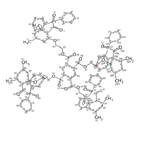 Cc1cc(C)c(C(=O)P(=O)(c2ccccc2)c2ccccc2)c(OCCOC(=O)c2cc(C(=O)OCCOc3cc(C)cc(C)c3C(=O)P(=O)(c3ccccc3)c3ccccc3)c(C(=O)OCCOc3cc(C)cc(C)c3C(=O)P(=O)(c3ccccc3)c3ccccc3)cc2C(=O)OCCOc2cc(C)cc(C)c2C(=O)P(=O)(c2ccccc2)c2ccccc2)c1